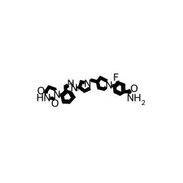 NC(=O)c1ccc(N2CCC(CN3CC[C@@H](n4ncc5c(N6CCC(=O)NC6=O)cccc54)C3)CC2)c(F)c1